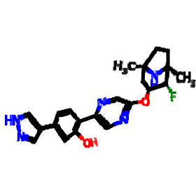 C[C@@]12CC[C@@](C)(N1)[C@H](F)[C@@H](Oc1cnc(-c3ccc(-c4cn[nH]c4)cc3O)cn1)C2